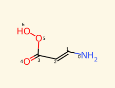 NC=CC(=O)OO